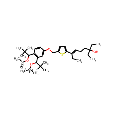 CCC(=CCCC(O)(CC)CC)c1ccc(COc2ccc(C(O[SiH](C)C)C(C)(C)C)c(C(O[SiH](C)C)C(C)(C)C)c2)s1